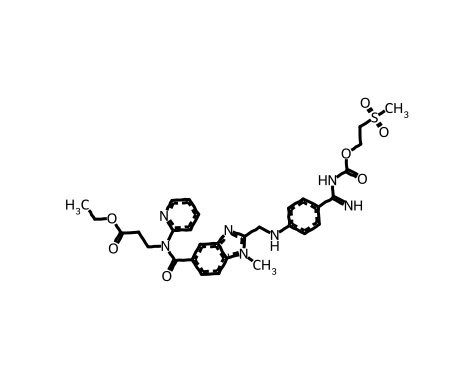 CCOC(=O)CCN(C(=O)c1ccc2c(c1)nc(CNc1ccc(C(=N)NC(=O)OCCS(C)(=O)=O)cc1)n2C)c1ccccn1